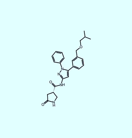 CC(C)COCc1cccc(-c2cc(NC(=O)[C@@H]3CNC(=O)C3)nn2-c2ccccc2)c1